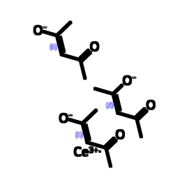 CC(=O)/C=C(/C)[O-].CC(=O)/C=C(\C)[O-].CC(=O)/C=C(\C)[O-].[Ce+3]